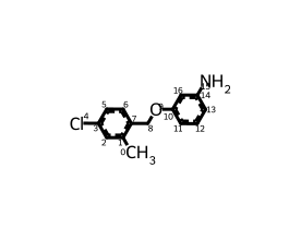 Cc1cc(Cl)ccc1COc1cccc(N)c1